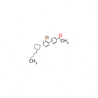 CCCCC[C@H]1CCC[C@H](c2ccc(-c3ccc(C(C)=O)cc3)c(Br)c2)C1